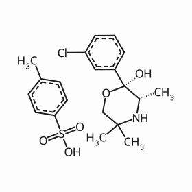 C[C@@H]1NC(C)(C)CO[C@@]1(O)c1cccc(Cl)c1.Cc1ccc(S(=O)(=O)O)cc1